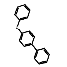 [c]1ccccc1-c1ccc(Oc2ccccc2)cc1